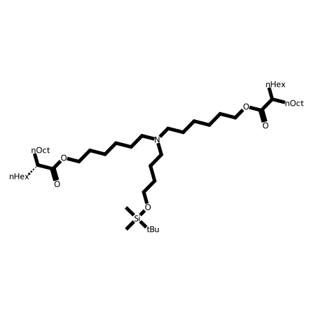 CCCCCCCCC(CCCCCC)C(=O)OCCCCCCN(CCCCCCOC(=O)[C@H](CCCCCC)CCCCCCCC)CCCCO[Si](C)(C)C(C)(C)C